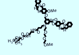 COCCOCCOCCN(CCCC(=O)NCCCONC(=O)OCC[Si](C)(C)C)c1cc(COc2cc3c(cc2OC)C(=O)N2c4ccccc4C[C@H]2C=N3)cc(COc2cc3c(cc2OC)C(=O)N2c4ccccc4C[C@H]2C=N3)c1